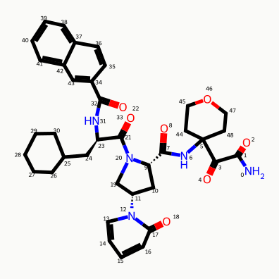 NC(=O)C(=O)C1(NC(=O)[C@@H]2C[C@H](n3ccccc3=O)CN2C(=O)[C@@H](CC2CCCCC2)NC(=O)c2ccc3ccccc3c2)CCOCC1